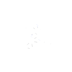 Cc1noc(C)c1-c1cnc2c(-c3ccc(C(=O)O)cc3)cn(CC3(F)CCC(F)(F)CC3)c2c1